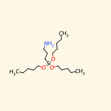 CCCCCO[Si](CCCN)(OCCCCC)OCCCCC